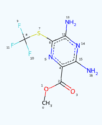 COC(=O)c1nc(SC(F)(F)F)c(N)nc1N